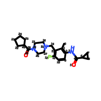 Cc1c(NC(=O)C2CC2)ccc(F)c1CN1CCN(C(=O)C2CCCC2)CC1